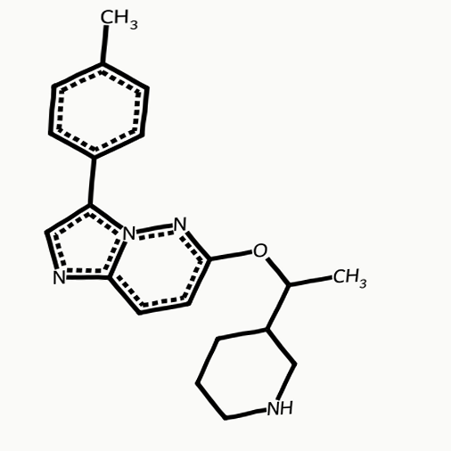 Cc1ccc(-c2cnc3ccc(OC(C)C4CCCNC4)nn23)cc1